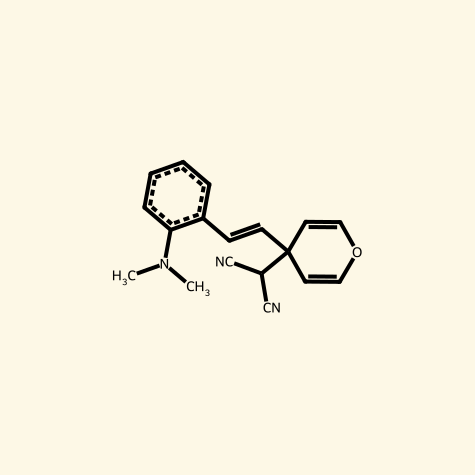 CN(C)c1ccccc1C=CC1(C(C#N)C#N)C=COC=C1